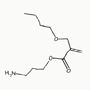 C=C(COCCCC)C(=O)OCCCN